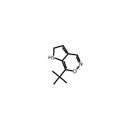 CC(C)(C)C1=C2[SH]CC=C2C=NO1